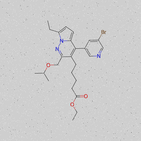 CCOC(=O)CCCCc1c(COC(C)C)nn2c(CC)ccc2c1-c1cncc(Br)c1